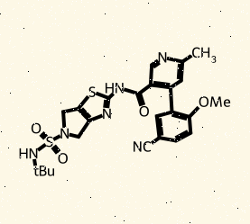 COc1ccc(C#N)cc1-c1cc(C)ncc1C(=O)Nc1nc2c(s1)CN(S(=O)(=O)NC(C)(C)C)C2